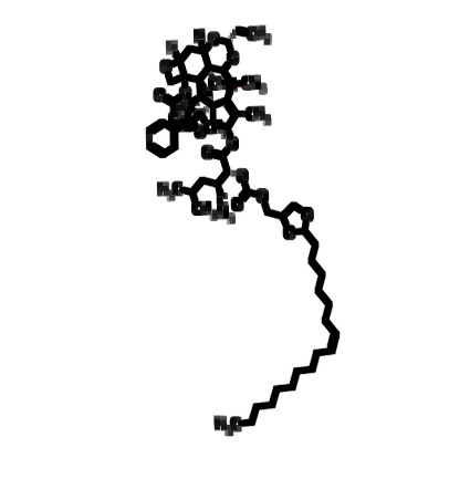 C=C[C@H]1O[C@H]2C[C@H]3OC[C@@]3(OC(C)=O)[C@H]3[C@H](OC(=O)c4ccccc4)[C@]4(C(C)(C)O)C[C@H](OC(=O)[C@H](OC(=O)OCC5COC(CCCCCC/C=C\CCCCCCCCC)O5)[C@@H](C)CC(C)C)C(C)=C4[C@H](C)[C@H](O1)[C@]23C